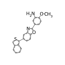 COc1ccc(-c2nc3cc(-c4scc5ccccc45)ccc3o2)cc1N